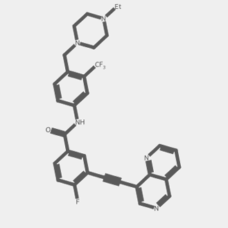 CCN1CCN(Cc2ccc(NC(=O)c3ccc(F)c(C#Cc4cncc5cccnc45)c3)cc2C(F)(F)F)CC1